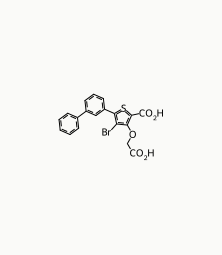 O=C(O)COc1c(C(=O)O)sc(-c2cccc(-c3ccccc3)c2)c1Br